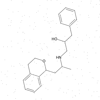 CC(CC1OCCc2ccccc21)NCC(O)Cc1ccccc1